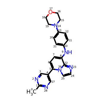 Cc1ncc(-c2ccc(Nc3ccc(N4CCOCC4)cc3)c3nccn23)cn1